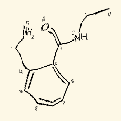 CCNC(=O)c1ccccc1CN